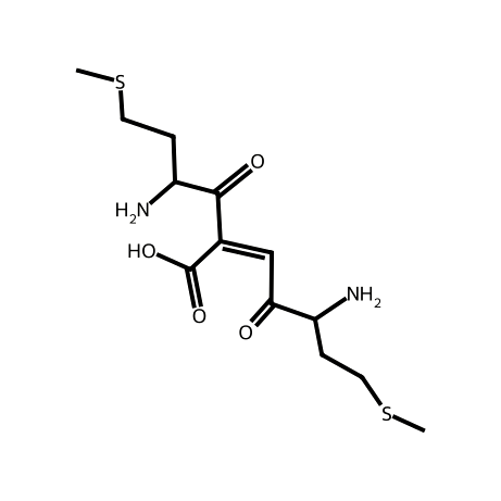 CSCCC(N)C(=O)C=C(C(=O)O)C(=O)C(N)CCSC